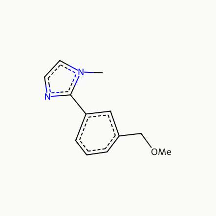 COCc1cccc(-c2nccn2C)c1